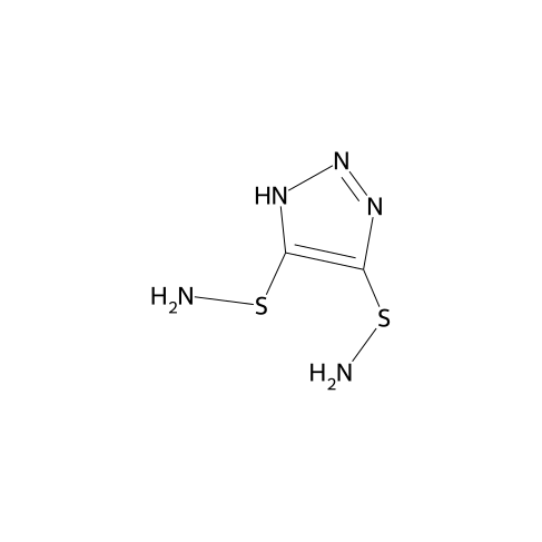 NSc1nn[nH]c1SN